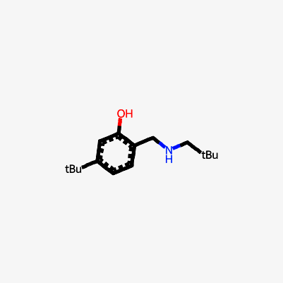 CC(C)(C)CNCc1ccc(C(C)(C)C)cc1O